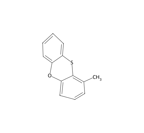 Cc1cccc2c1Sc1ccccc1O2